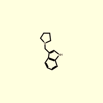 [c]1cccc2c(CN3CCCC3)c[nH]c12